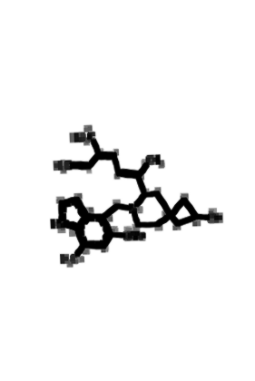 C=C/C(=C\C=C(/C)C1CC2(CCN1Cc1c(OC)cc(C)c3[nH]ccc13)CC(O)C2)C(=O)O